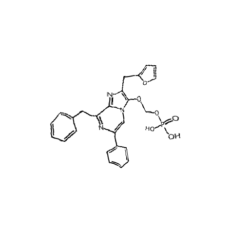 O=P(O)(O)OCOc1c(Cc2ccco2)nc2c(Cc3ccccc3)nc(-c3ccccc3)cn12